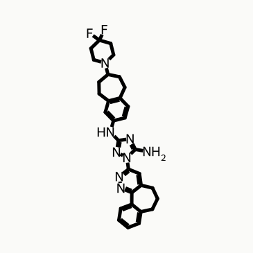 Nc1nc(Nc2ccc3c(c2)CCC(N2CCC(F)(F)CC2)CC3)nn1-c1cc2c(nn1)-c1ccccc1CCC2